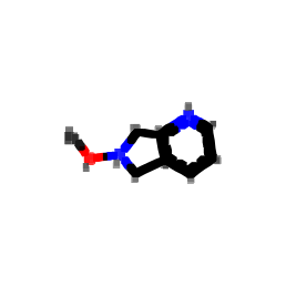 CCON1Cc2cccnc2C1